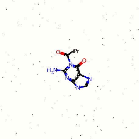 CC(C)C(=O)n1c(N)nc2c(c1=O)N=C[N]2